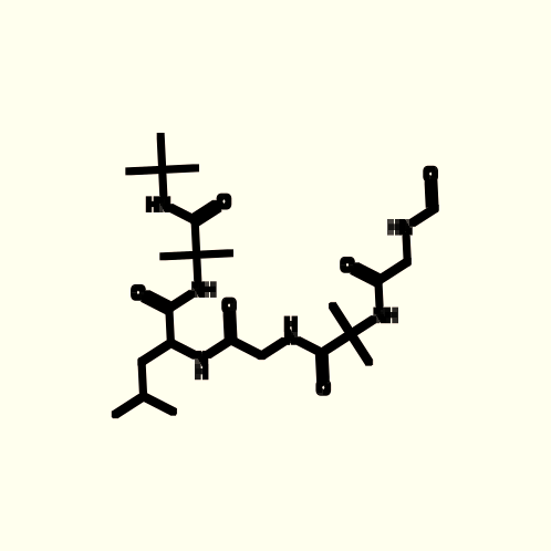 CC(C)CC(NC(=O)CNC(=O)C(C)(C)NC(=O)CNC=O)C(=O)NC(C)(C)C(=O)NC(C)(C)C